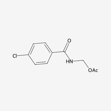 CC(=O)OCNC(=O)c1ccc(Cl)cc1